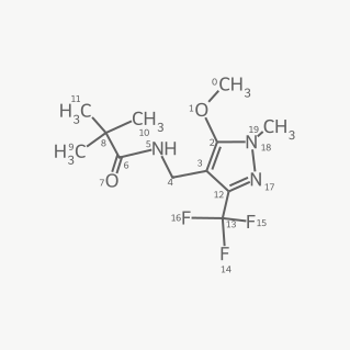 COc1c(CNC(=O)C(C)(C)C)c(C(F)(F)F)nn1C